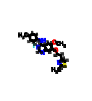 COc1cc2c(Nc3ccc(C)cc3F)ncnc2cc1OCCc1csc(C)n1